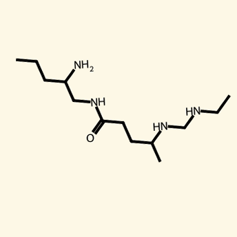 CCCC(N)CNC(=O)CCC(C)NCNCC